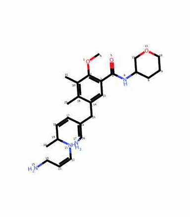 COc1c(C(=O)NC2CCCOC2)cc(CC(/C=C\C(C)N/C=C\CN)=C/N)c(C)c1C